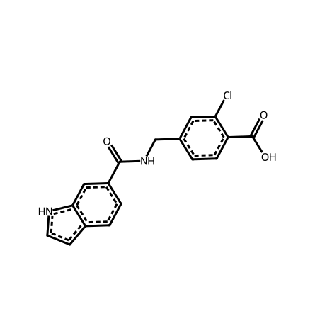 O=C(NCc1ccc(C(=O)O)c(Cl)c1)c1ccc2cc[nH]c2c1